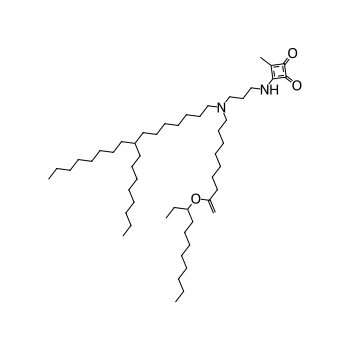 C=C(CCCCCCCN(CCCCCCCC(CCCCCCCC)CCCCCCCC)CCCNc1c(C)c(=O)c1=O)OC(CC)CCCCCCCC